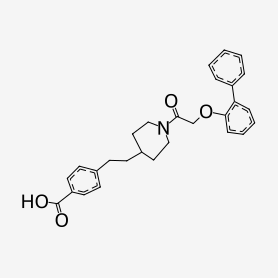 O=C(O)c1ccc(CCC2CCN(C(=O)COc3ccccc3-c3ccccc3)CC2)cc1